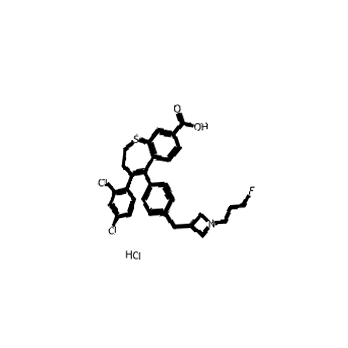 Cl.O=C(O)c1ccc2c(c1)SCCC(c1ccc(Cl)cc1Cl)=C2c1ccc(CC2CN(CCCF)C2)cc1